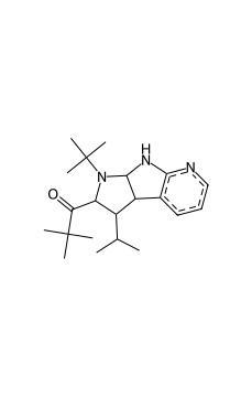 CC(C)C1C2c3cccnc3NC2N(C(C)(C)C)C1C(=O)C(C)(C)C